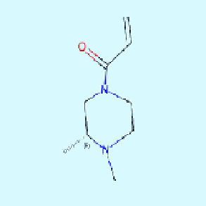 C=CC(=O)N1CCN(C)[C@H](C)C1